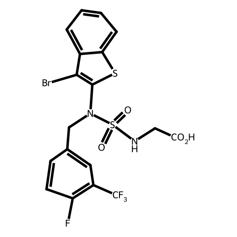 O=C(O)CNS(=O)(=O)N(Cc1ccc(F)c(C(F)(F)F)c1)c1sc2ccccc2c1Br